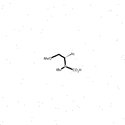 COC[C@H](C(C)=O)N(C(=O)O)C(C)(C)C